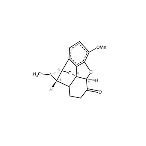 COc1ccc2c3c1O[C@H]1C(=O)CCC4[C@@H]5N(C)[C@@]25C[C@@]341